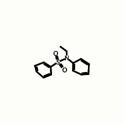 CCN(c1ccccc1)S(=O)(=O)c1ccccc1